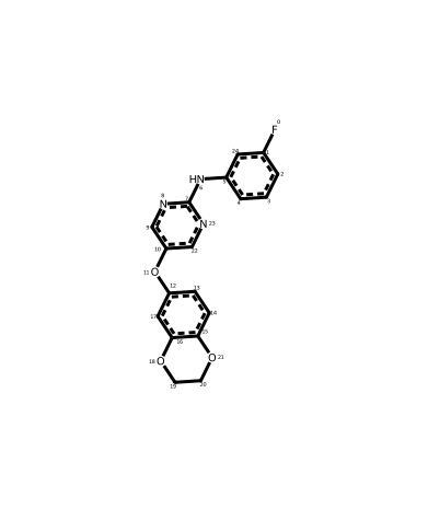 Fc1cccc(Nc2ncc(Oc3ccc4c(c3)OCCO4)cn2)c1